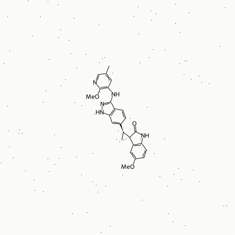 COc1ccc2c(c1)[C@]1(C[C@H]1c1ccc3c(Nc4cc(C)cnc4OC)n[nH]c3c1)C(=O)N2